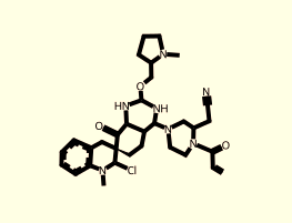 C=CC(=O)N1CCN(C2NC(OCC3CCCN3C)NC3C(=O)[C@@]4(CCC32)Cc2ccccc2N(C)C4Cl)CC1CC#N